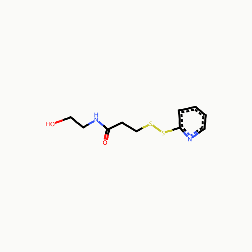 O=C(CCSSc1ccccn1)NCCO